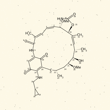 CO[C@H]1/C=C\C=C(/C)C(=O)NC2=CC(=O)C(NCC3CC3)=C(C[C@@H](C)C[C@H](OC)[C@H](O)[C@@H](C)/C=C(\C)[C@@H]1OC(N)=O)C2=O